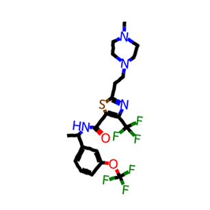 CC(NC(=O)c1sc(CCN2CCN(C)CC2)nc1C(F)(F)F)c1cccc(OC(F)(F)F)c1